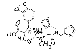 CC(C(=O)O)[C@@H](NC(=O)N(C)CC(=O)N(Cc1cccs1)Cc1cccs1)c1ccc2c(c1)OCO2